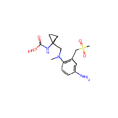 CN(CC1(NC(=O)O)CC1)c1ccc(N)cc1CS(C)(=O)=O